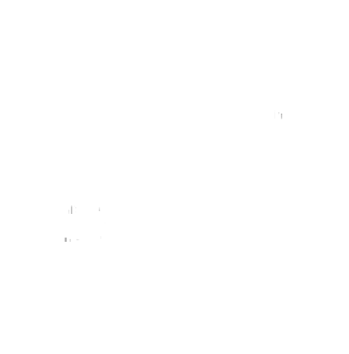 CCCCOC(CCCCCCCCC/C=C/CCBr)OCCCC